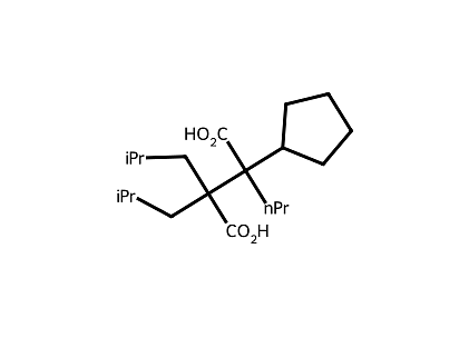 CCCC(C(=O)O)(C1CCCC1)C(CC(C)C)(CC(C)C)C(=O)O